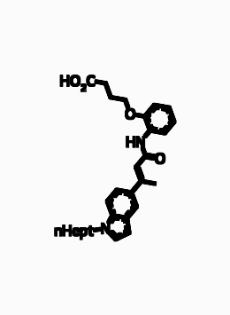 CCCCCCCn1ccc2cc(/C(C)=C/C(=O)Nc3ccccc3OCCCC(=O)O)ccc21